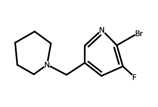 Fc1cc(CN2CCCCC2)cnc1Br